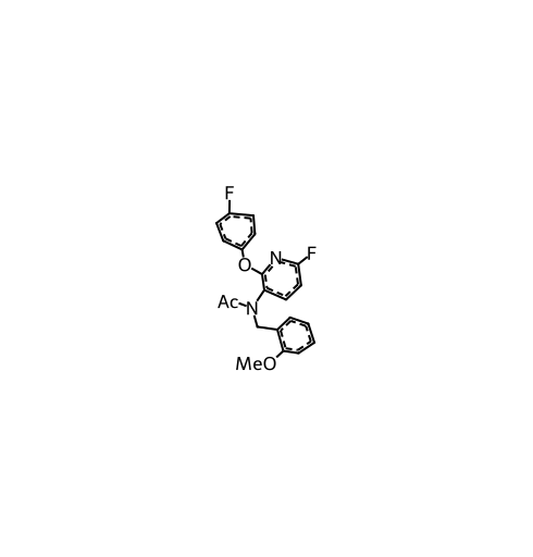 COc1ccccc1CN(C(C)=O)c1ccc(F)nc1Oc1ccc(F)cc1